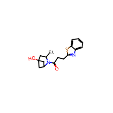 CCC1CC2(O)CC(C2)N1C(=O)CCc1nc2ccccc2s1